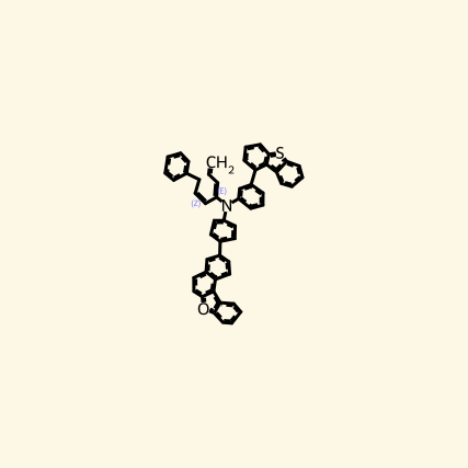 C=C/C=C(\C=C/Cc1ccccc1)N(c1ccc(-c2ccc3c(ccc4oc5ccccc5c43)c2)cc1)c1cccc(-c2cccc3sc4ccccc4c23)c1